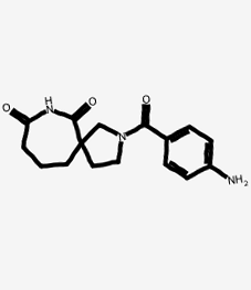 Nc1ccc(C(=O)N2CCC3(CCCC(=O)NC3=O)C2)cc1